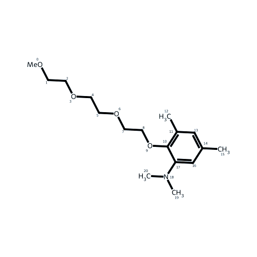 COCCOCCOCCOc1c(C)cc(C)cc1N(C)C